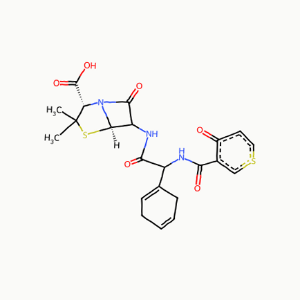 CC1(C)S[C@@H]2C(NC(=O)C(NC(=O)c3csccc3=O)C3=CCC=CC3)C(=O)N2[C@H]1C(=O)O